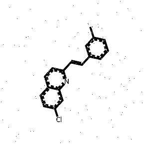 [CH2]c1cccc(C=Cc2ccc3ccc(Cl)cc3n2)c1